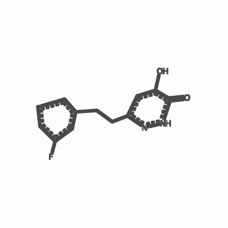 O=c1[nH]nc(CCc2cccc(F)c2)cc1O